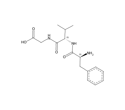 CC(C)[C@H](NC(=O)[C@@H](N)Cc1ccccc1)C(=O)NCC(=O)O